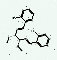 CC[C@H](/N=C/c1ccccc1O)[C@H](CC)/N=C/c1ccccc1O